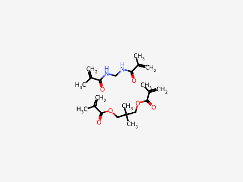 C=C(C)C(=O)NCNC(=O)C(=C)C.C=C(C)C(=O)OCC(C)(C)COC(=O)C(=C)C